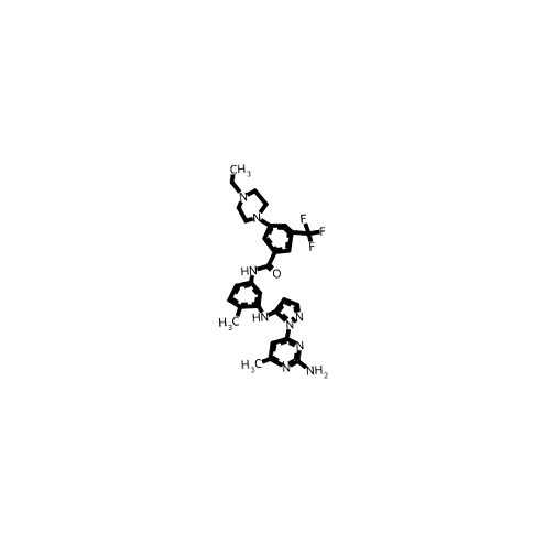 CCN1CCN(c2cc(C(=O)Nc3ccc(C)c(Nc4ccnn4-c4cc(C)nc(N)n4)c3)cc(C(F)(F)F)c2)CC1